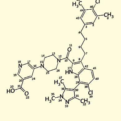 Cc1cc(CCCCc2c(C(=O)N3CCN(c4cncc(C(=O)O)c4)CC3)[nH]c3c(-c4c(C)nn(C)c4C)c(Cl)ccc23)cc(C)c1Cl